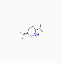 CC(C)=C1CCC(C(C)C)NC1